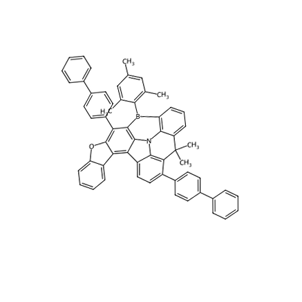 Cc1cc(C)c(B2c3cccc4c3-n3c5c(c(-c6ccc(-c7ccccc7)cc6)ccc5c5c6c(oc7ccccc76)c(-c6ccc(-c7ccccc7)cc6)c2c53)C4(C)C)c(C)c1